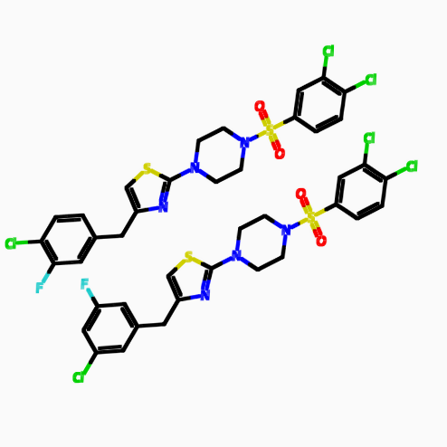 O=S(=O)(c1ccc(Cl)c(Cl)c1)N1CCN(c2nc(Cc3cc(F)cc(Cl)c3)cs2)CC1.O=S(=O)(c1ccc(Cl)c(Cl)c1)N1CCN(c2nc(Cc3ccc(Cl)c(F)c3)cs2)CC1